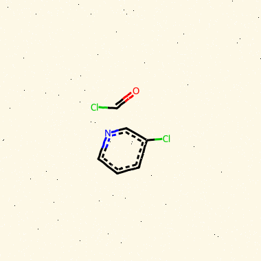 Clc1cccnc1.O=CCl